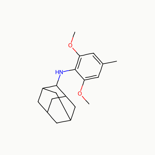 COc1cc(C)cc(OC)c1NC1C2CC3CC(C2)CC1C3